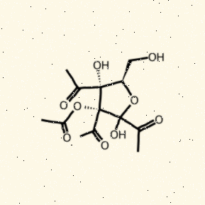 CC(=O)O[C@@]1(C(C)=O)C(O)(C(C)=O)O[C@H](CO)[C@]1(O)C(C)=O